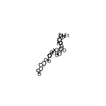 C=C(COc1ccc(C(=O)O[C@@H]2CC[C@@]3(C)C(CCC4C3CC[C@]3(C)C(=O)CCC43)C2)cc1)O[C@]1(CC)C(=O)OCc2c1cc1n(c2=O)Cc2cc3c(CN(CC)CC)c(O)ccc3nc2-1